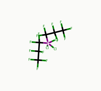 FC(F)(F)C(F)(F)C(F)(F)P(Cl)(Cl)(Cl)C(F)(F)C(F)(F)C(F)(F)F